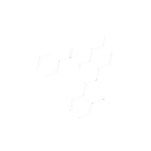 Cc1ccc(C(=O)Nc2ccccc2C(=O)O)c(NC(=O)c2ccccc2F)c1